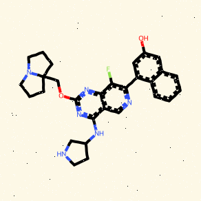 Oc1cc(-c2ncc3c(NC4CCNC4)nc(OCC45CCCN4CCC5)nc3c2F)c2ccccc2c1